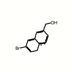 OCC1=CC2=CC(Br)=CCC23C=NC=CC3=C1